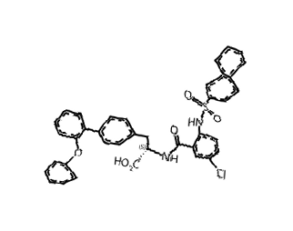 O=C(N[C@@H](Cc1ccc(-c2ccccc2Oc2ccccc2)cc1)C(=O)O)c1cc(Cl)ccc1NS(=O)(=O)c1ccc2ccccc2c1